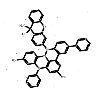 CC(C)(C)c1ccc2c(c1)N(c1ccccc1)c1cc(C(C)(C)C)cc3c1N2B(c1ccc2c(c1)Oc1ccccc1C2(C)C)c1ccc(-c2ccccc2)cc1-3